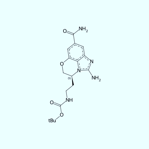 CC(C)(C)OC(=O)NCC[C@H]1COc2cc(C(N)=O)cc3nc(N)n1c23